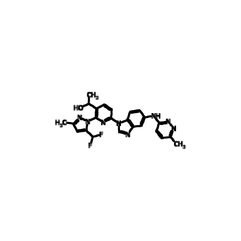 Cc1ccc(Nc2ccc3c(c2)ncn3-c2ccc(C(C)O)c(-n3nc(C)cc3C(F)F)n2)nn1